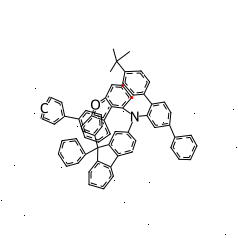 CC(C)(C)c1ccc(-c2ccc(-c3ccccc3)cc2N(c2ccc3c(c2)C(c2ccccc2)(c2cccc(-c4ccccc4)c2)c2ccccc2-3)c2cccc3oc4ccccc4c23)cc1